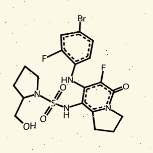 O=c1c(F)c(Nc2ccc(Br)cc2F)c(NS(=O)(=O)N2CCCC2CO)c2n1CCC2